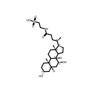 C[C@H](CCC(=O)NCCS(=O)(=O)O)[C@H]1CCC2[C@H]3C(CC[C@@]21C)[C@@]1(C)CC[C@@H](O)C[C@H]1C[C@@H]3O